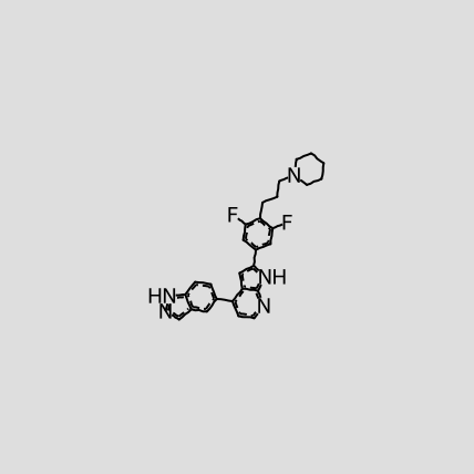 Fc1cc(-c2cc3c(-c4ccc5[nH]ncc5c4)ccnc3[nH]2)cc(F)c1CCCN1CCCCC1